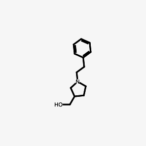 OCC1CCN(CCc2ccccc2)C1